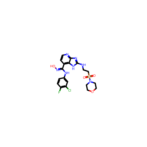 O=S(=O)(CCNc1nc2nccc(/C(=N\O)Nc3ccc(F)c(Cl)c3)c2[nH]1)N1CCOCC1